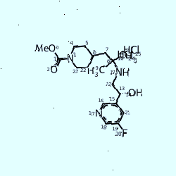 COC(=O)N1CCC(CC(C)(C)NC[C@H](O)c2cncc(F)c2)CC1.Cl.Cl